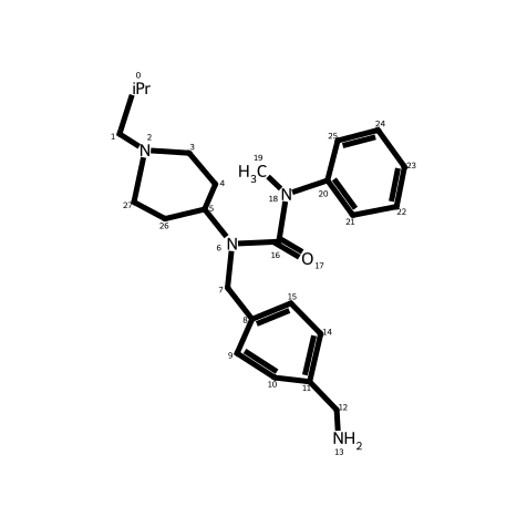 CC(C)CN1CCC(N(Cc2ccc(CN)cc2)C(=O)N(C)c2ccccc2)CC1